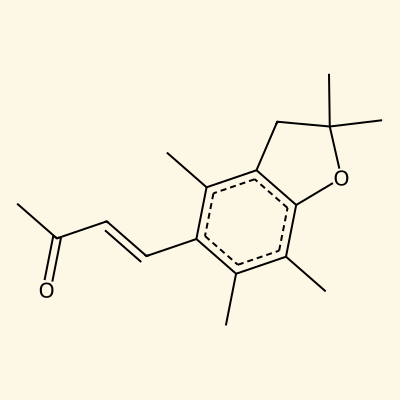 CC(=O)C=Cc1c(C)c(C)c2c(c1C)CC(C)(C)O2